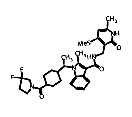 CSc1cc(C)[nH]c(=O)c1CNC(=O)c1c(C)n([C@H](C)C2CCC(C(=O)N3CCC(F)(F)C3)CC2)c2ccccc12